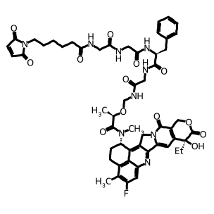 CC[C@@]1(O)C(=O)OCc2c1cc1n(c2=O)Cc2c-1nc1cc(F)c(C)c3c1c2[C@@H](N(C)C(=O)[C@@H](C)OCNC(=O)CNC(=O)[C@H](Cc1ccccc1)NC(=O)CNC(=O)CNC(=O)CCCCCN1C(=O)C=CC1=O)CC3